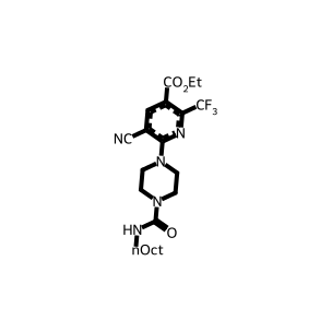 CCCCCCCCNC(=O)N1CCN(c2nc(C(F)(F)F)c(C(=O)OCC)cc2C#N)CC1